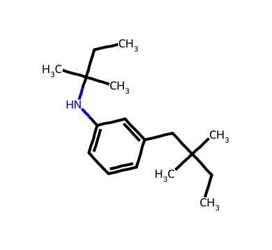 CCC(C)(C)Cc1cccc(NC(C)(C)CC)c1